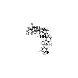 Cc1ccc(NC(=O)c2cccc(F)c2)cc1Nc1ncnn2cc(C(=O)N[C@@H](C)c3ccccc3)c(C)c12